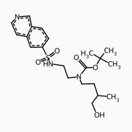 CC(CO)CCN(CCNS(=O)(=O)c1ccc2cnccc2c1)C(=O)OC(C)(C)C